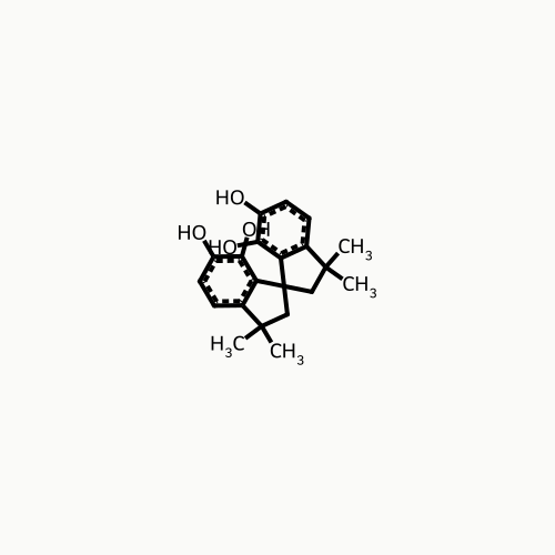 CC1(C)CC2(CC(C)(C)c3ccc(O)c(O)c32)c2c1ccc(O)c2O